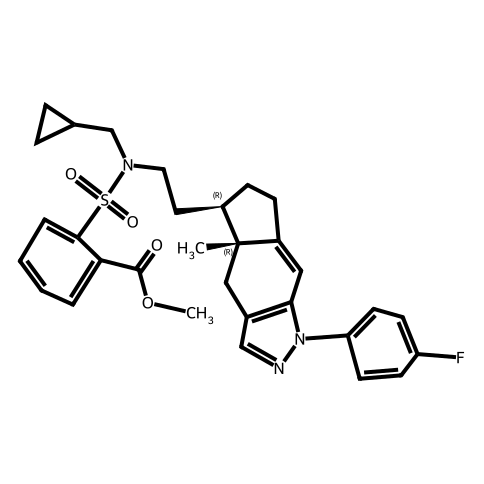 COC(=O)c1ccccc1S(=O)(=O)N(CC[C@H]1CCC2=Cc3c(cnn3-c3ccc(F)cc3)C[C@@]21C)CC1CC1